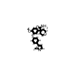 COc1ccc(C2(C(N)=O)CCOCC2)cc1Sc1ccc(-c2ccnn2C)cc1